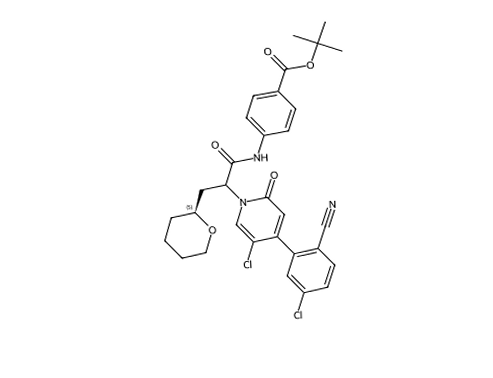 CC(C)(C)OC(=O)c1ccc(NC(=O)C(C[C@@H]2CCCCO2)n2cc(Cl)c(-c3cc(Cl)ccc3C#N)cc2=O)cc1